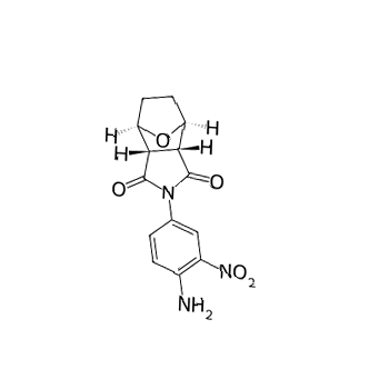 Nc1ccc(N2C(=O)[C@@H]3[C@H](C2=O)[C@H]2CC[C@@H]3O2)cc1[N+](=O)[O-]